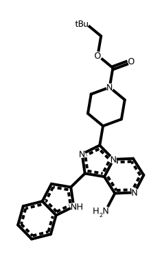 CC(C)(C)COC(=O)N1CCC(c2nc(-c3cc4ccccc4[nH]3)c3c(N)nccn23)CC1